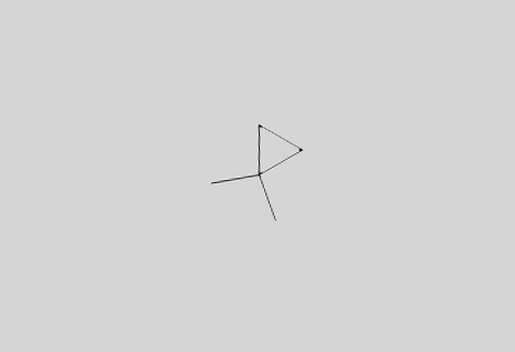 [CH]C1(C)CC1